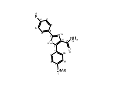 COc1ccc(-c2oc(-c3ccc(F)cc3)nc2C(N)=O)cc1